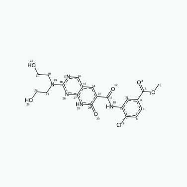 COC(=O)c1ccc(Cl)c(NC(=O)c2cc3cnc(N(CCO)CCO)nc3[nH]c2=O)c1